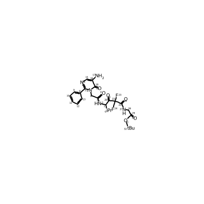 CC(C)C(NC(=O)Cn1c(-c2ccccc2)ncc(N)c1=O)C(=O)C(F)(F)C(=O)NCC(=O)OC(C)(C)C